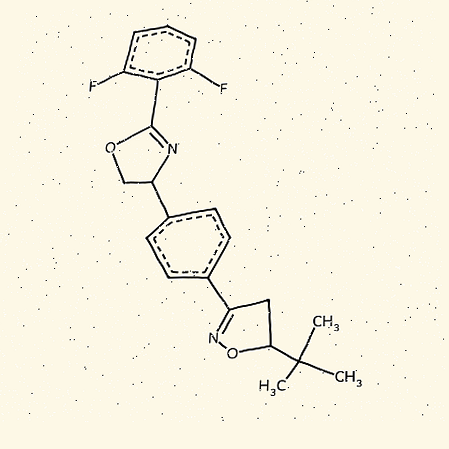 CC(C)(C)C1CC(c2ccc(C3COC(c4c(F)cccc4F)=N3)cc2)=NO1